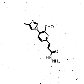 Cc1cn(-c2ccc(/C=C/C(=O)NN)nc2C=O)cn1